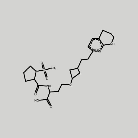 CS(=O)(=O)N1CCCC1C(=O)NC(CCOC1CC(CCc2ccc3c(n2)NCCC3)C1)C(=O)O